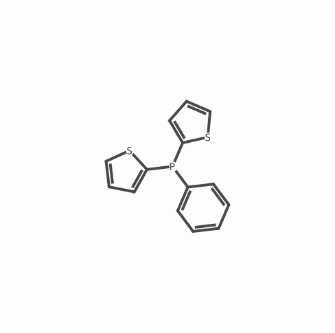 c1ccc(P(c2cccs2)c2cccs2)cc1